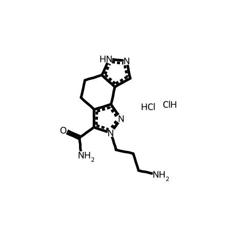 Cl.Cl.NCCCn1nc2c(c1C(N)=O)CCc1[nH]ncc1-2